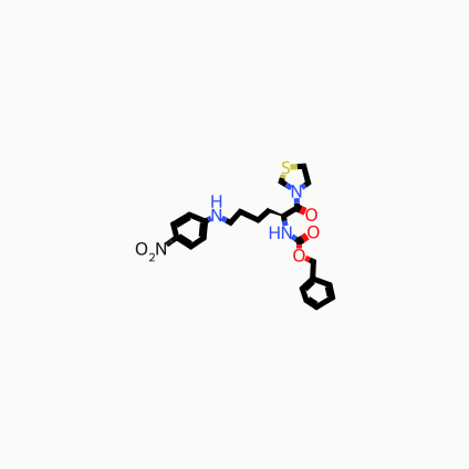 O=C(N[C@@H](CCCCNc1ccc([N+](=O)[O-])cc1)C(=O)N1CCSC1)OCc1ccccc1